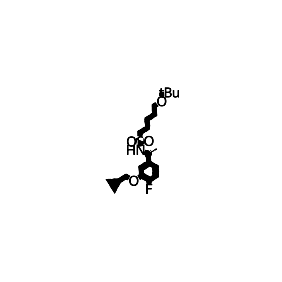 C[C@@H](NS(=O)(=O)CCCCCOC(C)(C)C)c1ccc(F)c(OCC2CC2)c1